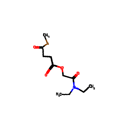 CCN(CC)C(=O)COC(=O)CCC(=O)SC